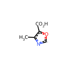 Cc1n[c]oc1C(=O)O